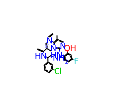 C=CN(/C=C(\C)C(=C)NC(CN)c1cccc(Cl)c1)c1nc(Nc2ccc(F)cc2O)ncc1C